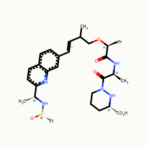 CC[S@+]([O-])N[C@H](C)c1ccc2ccc(/C=C/C(C)CO[C@H](C(=O)N[C@@H](C)C(=O)N3CCC[C@@H](C(=O)O)N3)C(C)C)cc2n1